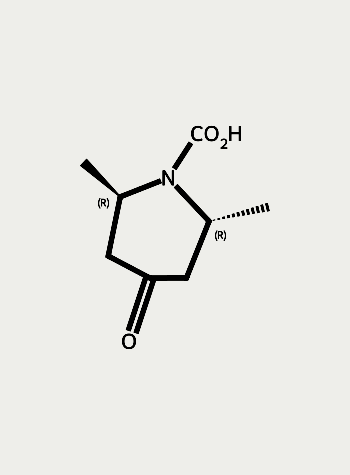 C[C@@H]1CC(=O)C[C@@H](C)N1C(=O)O